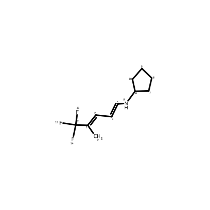 C/C(=C\C=C\NC1CCCC1)C(F)(F)F